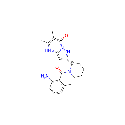 Cc1cccc(N)c1C(=O)N1CCCC[C@H]1c1cc2[nH]c(C)c(C)c(=O)n2n1